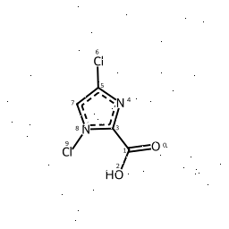 O=C(O)c1nc(Cl)cn1Cl